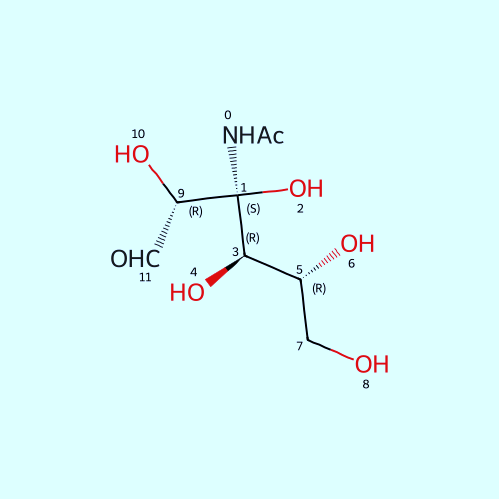 CC(=O)N[C@](O)([C@H](O)[C@H](O)CO)[C@@H](O)C=O